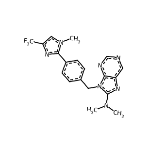 CN(C)c1nc2cncnc2n1Cc1ccc(-c2nc(C(F)(F)F)cn2C)cc1